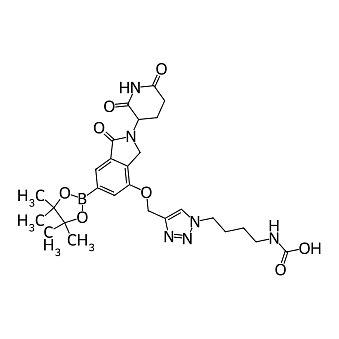 CC1(C)OB(c2cc(OCc3cn(CCCCNC(=O)O)nn3)c3c(c2)C(=O)N(C2CCC(=O)NC2=O)C3)OC1(C)C